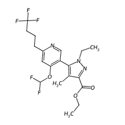 CCOC(=O)c1nn(CC)c(-c2cnc(CCCC(F)(F)F)cc2OC(F)F)c1C